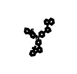 CC1(C)c2ccccc2-c2cccc(-c3ccc(N(c4ccc(-c5cccc(-c6cccc7ccccc67)c5)cc4)c4ccc5c(c4)sc4ccccc45)cc3)c21